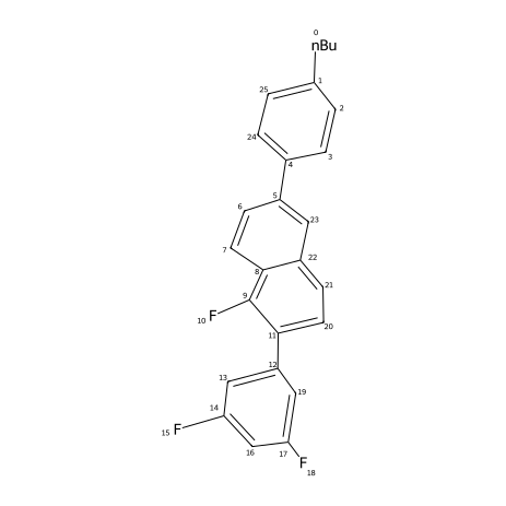 CCCCc1ccc(-c2ccc3c(F)c(-c4cc(F)cc(F)c4)ccc3c2)cc1